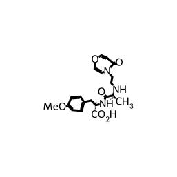 COc1ccc(C[C@H](NC(=O)[C@H](C)NCCN2C=COC=CC2=O)C(=O)O)cc1